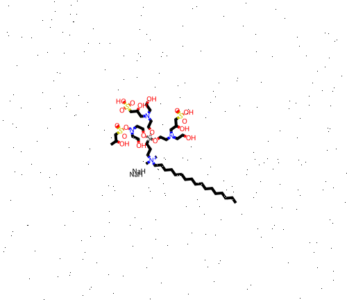 CCCCCCCCCCCCCCCCC[N+](C)(C)CCC[Si](OCCN(CCO)CC(O)CS(=O)(=O)O)(OCCN(CCO)CC(O)CS(=O)(=O)O)OCCN(CCO)OS(=O)(=O)CC(C)O.[NaH].[NaH]